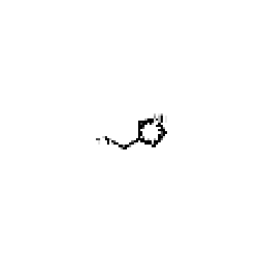 CCCCc1cc[nH]c1